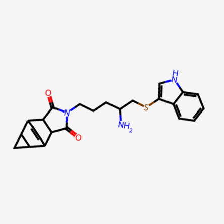 NC(CCCN1C(=O)C2C3C=CC(C4CC34)C2C1=O)CSc1c[nH]c2ccccc12